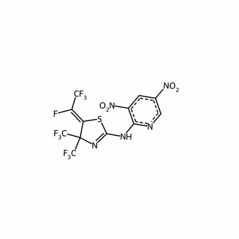 O=[N+]([O-])c1cnc(NC2=NC(C(F)(F)F)(C(F)(F)F)C(=C(F)C(F)(F)F)S2)c([N+](=O)[O-])c1